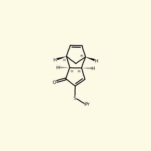 CC(C)SC1=C[C@H]2[C@@H](C1=O)[C@@H]1C=C[C@H]2C1